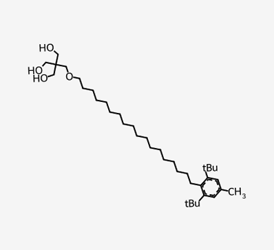 Cc1cc(C(C)(C)C)c(CCCCCCCCCCCCCCCCCCOCC(CO)(CO)CO)c(C(C)(C)C)c1